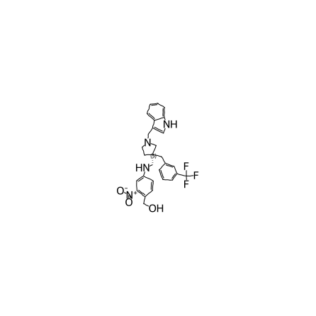 O=[N+]([O-])c1cc(NC[C@]2(Cc3cccc(C(F)(F)F)c3)CCN(Cc3c[nH]c4ccccc34)C2)ccc1CO